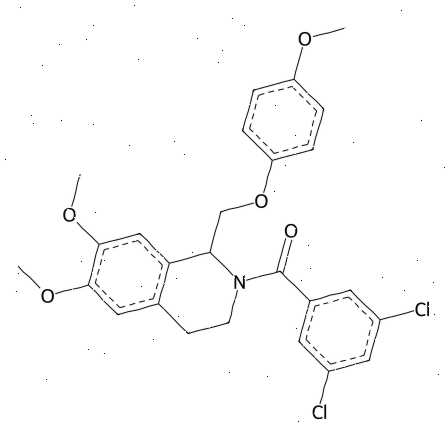 COc1ccc(OCC2c3cc(OC)c(OC)cc3CCN2C(=O)c2cc(Cl)cc(Cl)c2)cc1